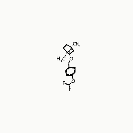 C[C@@]12CC[C@@](C#N)(C[C@@H]1OCc1ccc(OC(F)F)cc1)O2